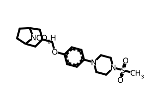 CS(=O)(=O)N1CCN(c2ccc(OCC3CC4CCC(C3)N4C(=O)O)cc2)CC1